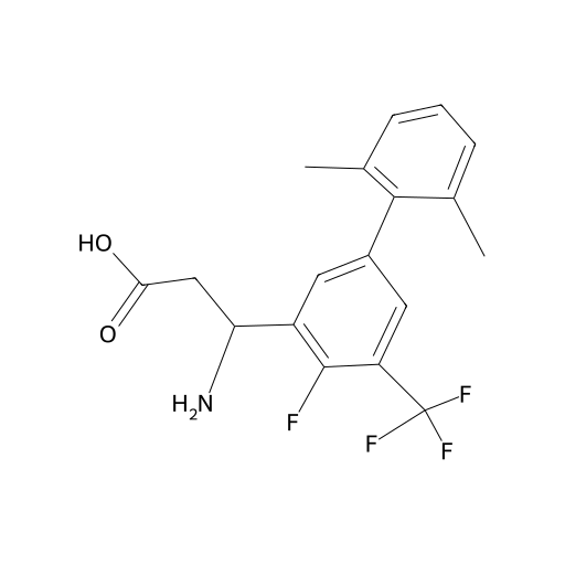 Cc1cccc(C)c1-c1cc(C(N)CC(=O)O)c(F)c(C(F)(F)F)c1